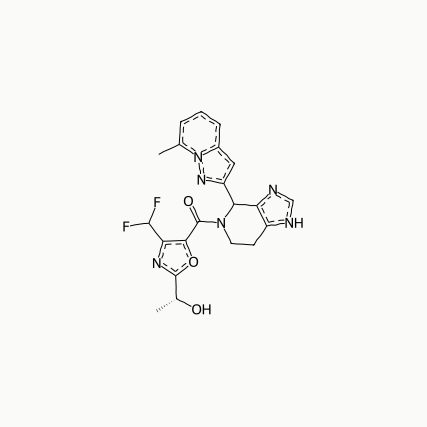 Cc1cccc2cc(C3c4nc[nH]c4CCN3C(=O)c3oc([C@@H](C)O)nc3C(F)F)nn12